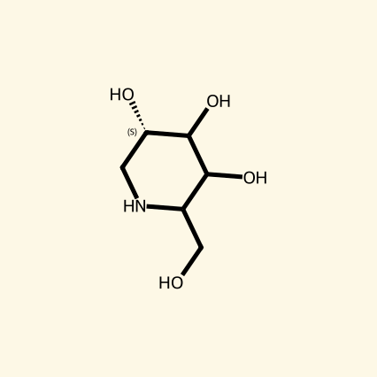 OCC1NC[C@H](O)C(O)C1O